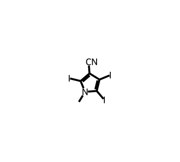 Cn1c(I)c(I)c(C#N)c1I